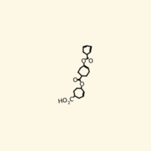 O=C(OC1=CCCC(C(=O)OC2C=CCC(C(=O)O)CC2)CC1)C1C=CC=CC1